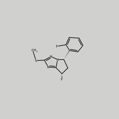 CSc1nc2n(n1)[C@H](c1ccccc1F)C[C@@H]2F